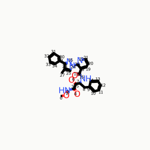 CONC(=O)C(=O)C(Cc1ccccc1)NC(=O)c1cccnc1-n1cc(C)c(-c2ccccc2)n1